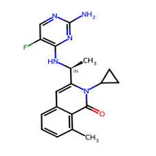 Cc1cccc2cc([C@H](C)Nc3nc(N)ncc3F)n(C3CC3)c(=O)c12